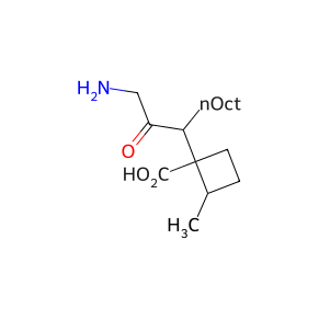 CCCCCCCCC(C(=O)CN)C1(C(=O)O)CCC1C